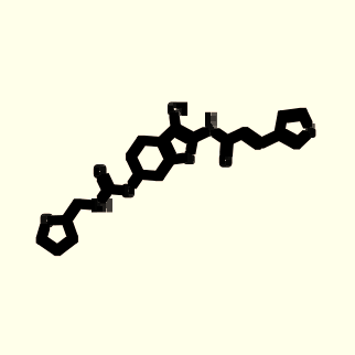 N#Cc1c(NC(=O)C=Cc2ccsc2)sc2c1CCC(OC(=O)NCC1CCCO1)C2